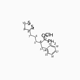 Cl.O=C(P)C(CCCC1CCSS1)Cc1ccccc1